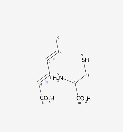 C/C=C/C=C/C(=O)O.NC(CS)C(=O)O